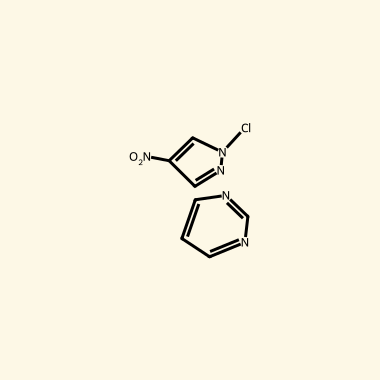 O=[N+]([O-])c1cnn(Cl)c1.c1cncnc1